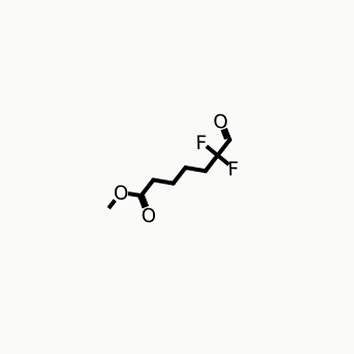 COC(=O)CCCCC(F)(F)C=O